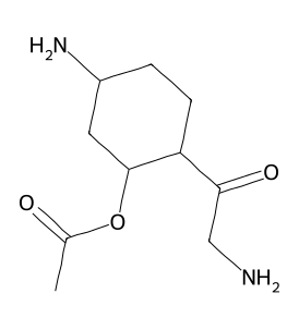 CC(=O)OC1CC(N)CCC1C(=O)CN